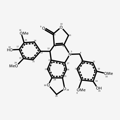 COc1cc(CN2C3=C(C(=O)OC3)C(c3cc(OC)c(O)c(OC)c3)c3cc4c(cc32)OCO4)cc(OC)c1O